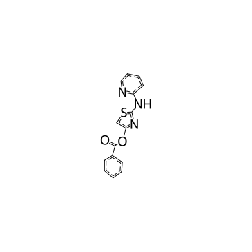 O=C(Oc1csc(Nc2ccccn2)n1)c1ccccc1